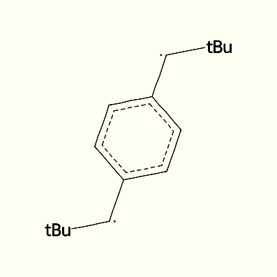 CC(C)(C)[CH]c1ccc([CH]C(C)(C)C)cc1